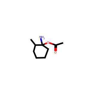 CC(=O)OC1(N)CCCCC1C